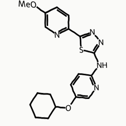 COc1ccc(-c2nnc(Nc3ccc(OC4CCCCC4)cn3)s2)nc1